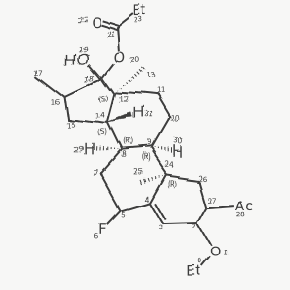 CCOC1C=C2C(F)C[C@@H]3[C@@H](CC[C@@]4(C)[C@H]3CC(C)C4(O)OC(=O)CC)[C@@]2(C)CC1C(C)=O